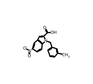 Cc1cccc(Cn2c(C(=O)O)cc3cc([N+](=O)[O-])ccc32)c1